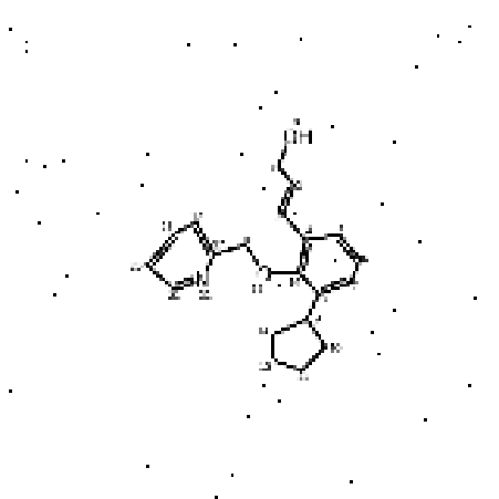 OCC=Cc1cccc(C2CCCC2)c1OCc1ccccn1